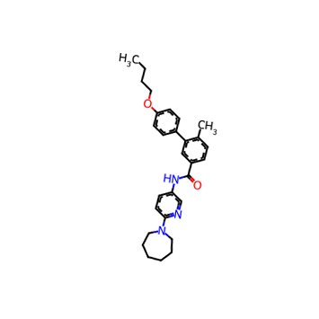 CCCCOc1ccc(-c2cc(C(=O)Nc3ccc(N4CCCCCC4)nc3)ccc2C)cc1